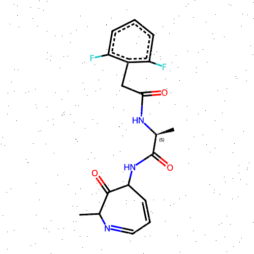 CC1N=CC=CC(NC(=O)[C@H](C)NC(=O)Cc2c(F)cccc2F)C1=O